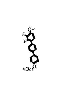 CCCCCCCCOc1ccc(-c2ccc(-c3ccc(O)c(F)c3F)cc2)cc1